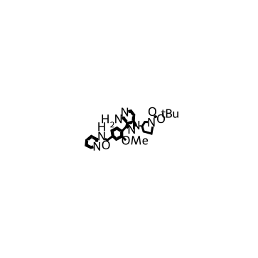 COc1cc(C(=O)Nc2ccccn2)ccc1-c1nn([C@@H]2CCCN(C(=O)OC(C)(C)C)C2)c2ccnc(N)c12